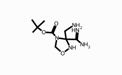 CC(C)(C)OC(=O)N1CONC1(CN)C(=N)N